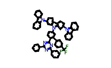 FC(F)(F)c1ccc(-c2cc(-n3c4cc(-n5c6ccccc6c6ccccc65)ccc4c4ccc(-n5c6ccccc6c6ccccc65)cc43)ccc2-c2nc(-c3ccccc3)nc(-c3ccccc3)n2)cc1